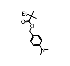 CCC(C)(C)C(=O)OCc1ccc(N(C)C)cc1